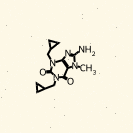 Cn1c(N)nc2c1c(=O)n(CC1CC1)c(=O)n2CC1CC1